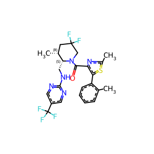 Cc1nc(C(=O)N2CC(F)(F)C[C@@H](C)[C@H]2CNc2ncc(C(F)(F)F)cn2)c(-c2ccccc2C)s1